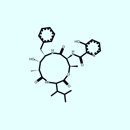 CC(C)C(C)C1NC(=O)[C@H](C)[C@H](O)[C@H](Cc2ccccc2)NC(=O)[C@@H](NC(=O)c2ncccc2O)[C@@H](C)OC1=O